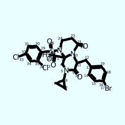 NC(=O)C12CN(C3CC3)C(=O)C(Cc3ccc(Br)cc3)N1C(=O)[C]CN2S(=O)(=O)c1ccc(Cl)cc1Cl